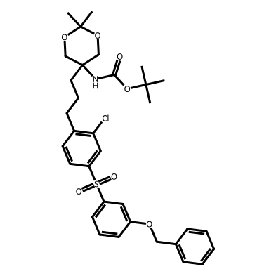 CC(C)(C)OC(=O)NC1(CCCc2ccc(S(=O)(=O)c3cccc(OCc4ccccc4)c3)cc2Cl)COC(C)(C)OC1